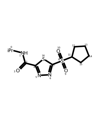 CC(C)NC(=O)c1nnc(S(=O)(=O)C2CCCC2)s1